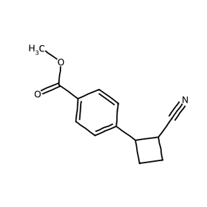 COC(=O)c1ccc(C2CCC2C#N)cc1